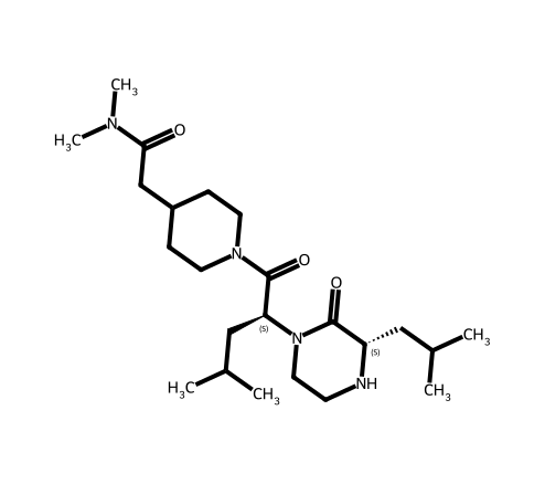 CC(C)C[C@@H]1NCCN([C@@H](CC(C)C)C(=O)N2CCC(CC(=O)N(C)C)CC2)C1=O